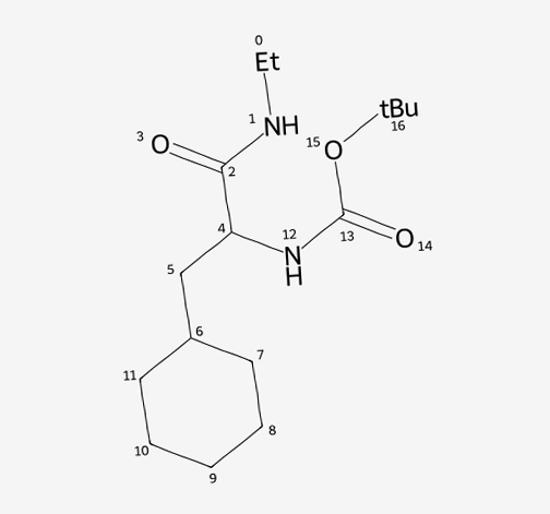 CCNC(=O)C(CC1CCCCC1)NC(=O)OC(C)(C)C